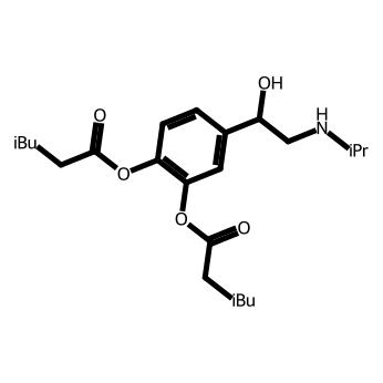 CCC(C)CC(=O)Oc1ccc(C(O)CNC(C)C)cc1OC(=O)CC(C)CC